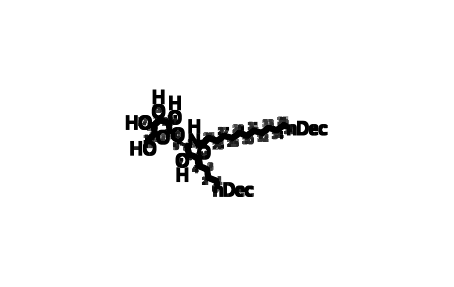 CCCCCCCCCCCCC/C=C/[C@@H](O)[C@H](CO[C@@H]1OC(CO)[C@H](O)[C@H](O)C1O)NC(=O)CCCCCCCCCCCCCCCCCCCCC